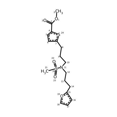 COC(=O)c1ccc(CCCN(CCCc2ccco2)S(C)(=O)=O)s1